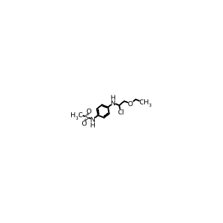 CCOCC(Cl)Nc1ccc(NS(C)(=O)=O)cc1